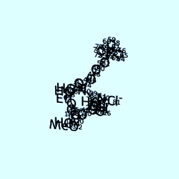 CC[C@H]1OC(=O)[C@H](C)[C@@H](O[C@H]2C[C@@](C)(OC)[C@@H](O)[C@H](C)O2)[C@H](C)[C@@H](O[C@@H]2O[C@H](C)C[C@H](N(C)C)[C@H]2O)[C@](C)(O)C[C@@H](C)CN(C(=O)CCOCCOCCOCC[P+](c2ccccc2)(c2ccccc2)c2ccccc2)[C@H](C)[C@@H](O)[C@]1(C)O.[Cl-]